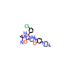 CN1CCN(c2ccc3nc(C[C@H](NC(=O)c4cccc(Cl)c4)C(=O)NC4(C#N)CC4)oc3c2)CC1